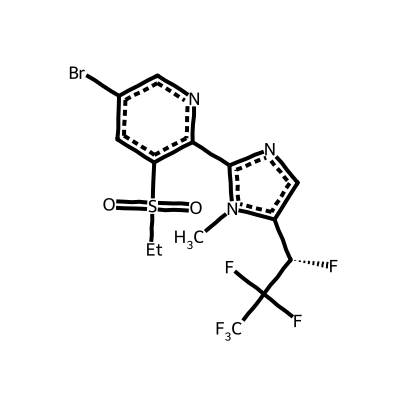 CCS(=O)(=O)c1cc(Br)cnc1-c1ncc([C@H](F)C(F)(F)C(F)(F)F)n1C